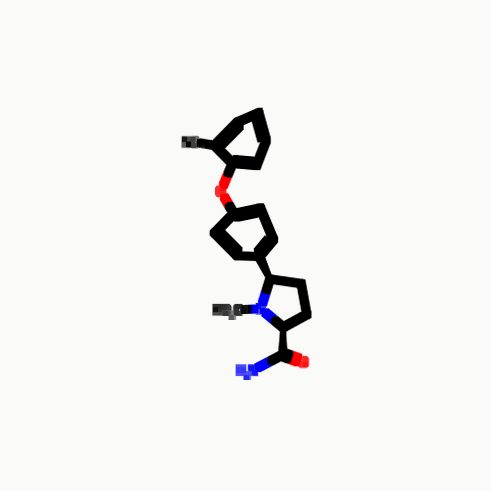 N#Cc1ccccc1Oc1ccc([C@H]2CC[C@@H](C(N)=O)N2C(=O)O)cc1